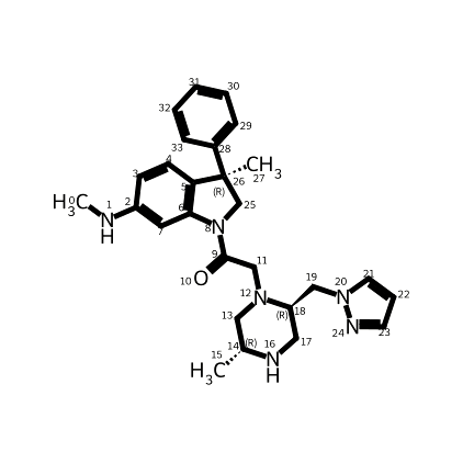 CNc1ccc2c(c1)N(C(=O)CN1C[C@@H](C)NC[C@@H]1Cn1cccn1)C[C@]2(C)c1ccccc1